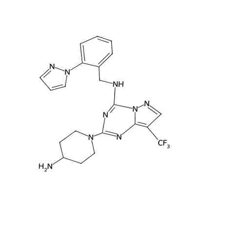 NC1CCN(c2nc(NCc3ccccc3-n3cccn3)n3ncc(C(F)(F)F)c3n2)CC1